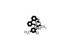 Cc1ccc(NC(=O)C(C)Sc2nc3cccc(-c4ccccc4CO)c3[nH]2)c(Cl)c1